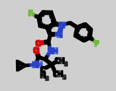 CC(C)(C)C(NC(=O)c1nn(Cc2ccc(F)cc2)c2ccc(F)cc12)C(=O)NC1CC1